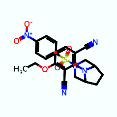 CCOc1ccc(C#N)c(N2C3CCC2CN(S(=O)(=O)c2ccc([N+](=O)[O-])cc2)C3)c1C#N